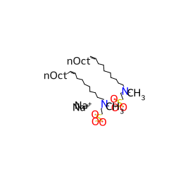 CCCCCCCC/C=C\CCCCCCCCN(C)CCS(=O)(=O)[O-].CCCCCCCC/C=C\CCCCCCCCN(C)CCS(=O)(=O)[O-].[Na+].[Na+]